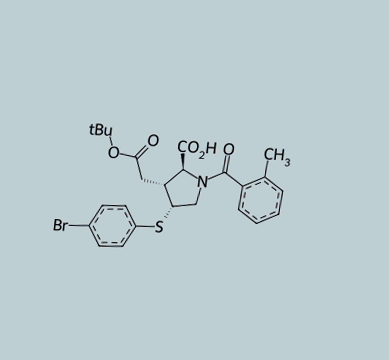 Cc1ccccc1C(=O)N1C[C@H](Sc2ccc(Br)cc2)[C@H](CC(=O)OC(C)(C)C)[C@H]1C(=O)O